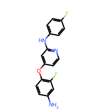 Nc1ccc(Oc2ccnc(Nc3ccc(F)cc3)c2)c(F)c1